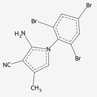 Cc1cn(-c2c(Br)cc(Br)cc2Br)c(N)c1C#N